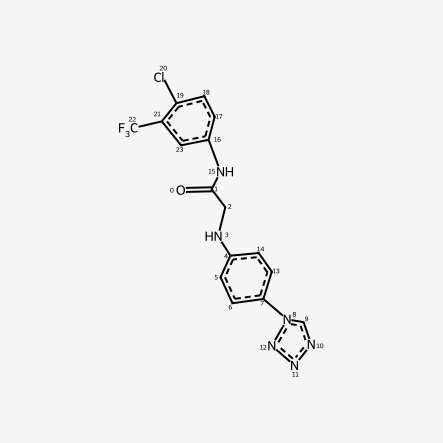 O=C(CNc1ccc(-n2cnnn2)cc1)Nc1ccc(Cl)c(C(F)(F)F)c1